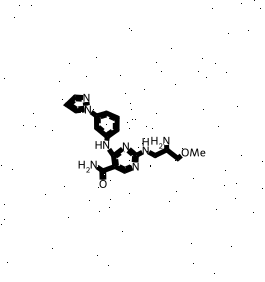 COCC(N)CNc1ncc(C(N)=O)c(Nc2cccc(-n3cccn3)c2)n1